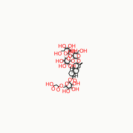 C=C1C[C@@]23CC[C@H]4[C@@](C)(CCC[C@@]4(C)C(=O)O[C@@H]4O[C@H](COC(=O)CC(=O)O)[C@@H](O)[C@H](O)[C@H]4O)[C@@H]2CC[C@]1(O[C@@H]1O[C@H](CO)[C@@H](O)[C@H](O[C@@H]2OC(CO)[C@@H](O)[C@H](O)[C@H]2O)[C@H]1O[C@@H]1O[C@@H](C)[C@H](O)[C@@H](O)[C@H]1O)C3